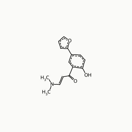 CN(C)/C=C/C(=O)c1cc(-c2ccco2)ccc1O